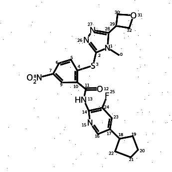 Cn1c(Sc2ccc([N+](=O)[O-])cc2C(=O)Nc2ncc(C3CCCC3)cc2F)nnc1C1COC1